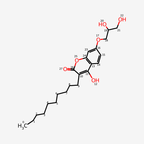 CCCCCCCCCCc1c(O)c2ccc(OCC(O)CO)cc2oc1=O